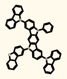 C1=CC2Oc3ccc(-n4c5ccc(-n6c7ccccc7c7ccccc76)cc5c5cc6c(cc54)c4cc(-n5c7ccccc7c7ccccc75)ccc4n6-c4ccccc4)cc3C2C=C1